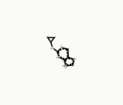 c1nc2cnc(OC3CC3)nc2[nH]1